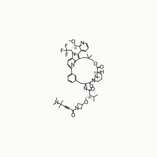 CO[C@@H](C)c1ncccc1-c1c2c3nc(ccc3n1CC(F)(F)F)-c1cccc(c1)C/C(=N/C(=O)[C@@H](COC1CN(C(=O)C#CC(C)(C)N(C)C)C1)C(C)C)C(=O)N1CCC[C@@H](C(=O)OCC(C)(C)C2)N1C